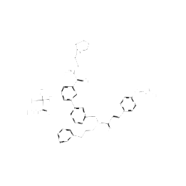 COc1ccc(C=CC(=O)N(CCCc2ccccc2)Cc2cccc(-c3cccc(C(=O)NCCN4CCCC4)c3)c2)cc1.O=C(O)C(F)(F)F